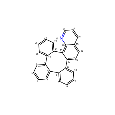 c1ccc2c(c1)-c1ccccc1-c1ccc3cccnc3c1-c1ccccc1-2